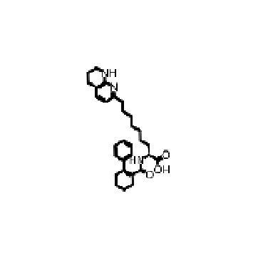 O=C(N[C@@H](CCCCCCCc1ccc2c(n1)NCCC2)C(=O)O)C1=C(c2ccccc2)CCCC1